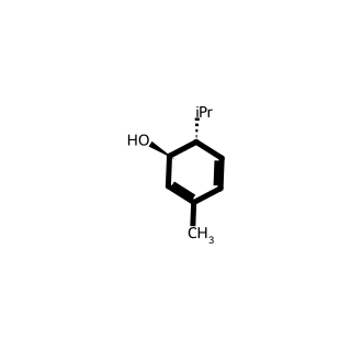 CC1=C[C@@H](O)[C@H](C(C)C)C=C1